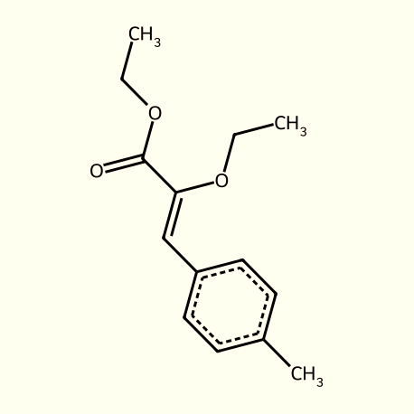 CCOC(=O)C(=Cc1ccc(C)cc1)OCC